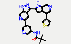 CC(C)(C)C(=O)Nc1cncc(-c2cc3c(-c4cc5c(-c6ccsc6)cncc5[nH]4)n[nH]c3cn2)c1